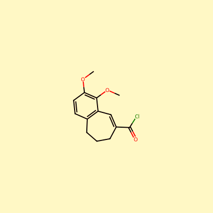 COc1ccc2c(c1OC)C=C(C(=O)Cl)CCC2